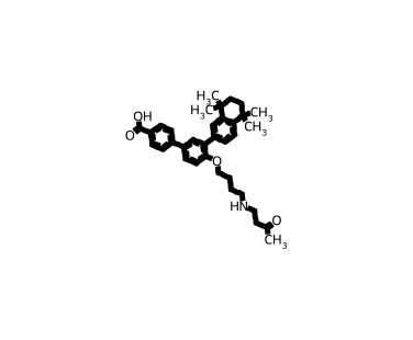 CC(=O)CCNCCCCOc1ccc(-c2ccc(C(=O)O)cc2)cc1-c1ccc2c(c1)C(C)(C)CCC2(C)C